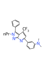 CCCn1nc2nc(-c3cccc(N(C)C)c3)cc(C(F)(F)F)c2c1-c1ccccc1